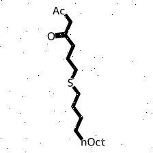 CCCCCCCCCCCCSCCCC(=O)CC(C)=O